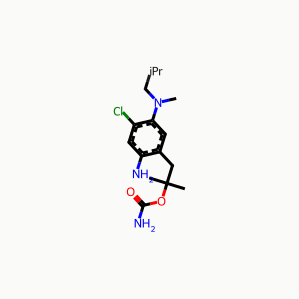 CC(C)CN(C)c1cc(CC(C)(C)OC(N)=O)c(N)cc1Cl